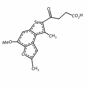 COc1cc2sc(C(=O)CCC(=O)O)c(C)c2c2cc(C)oc12